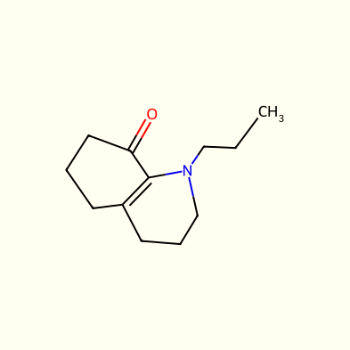 CCCN1CCCC2=C1C(=O)CCC2